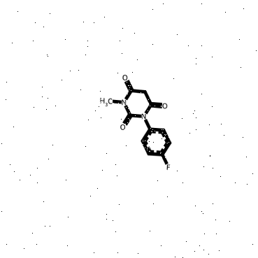 CN1C(=O)CC(=O)N(c2ccc(F)cc2)C1=O